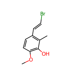 COc1ccc(/C=C/Br)c(C)c1O